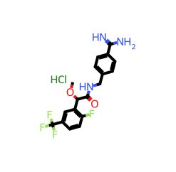 COC(C(=O)NCc1ccc(C(=N)N)cc1)c1cc(C(F)(F)F)ccc1F.Cl